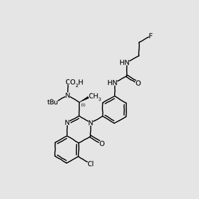 C[C@@H](c1nc2cccc(Cl)c2c(=O)n1-c1cccc(NC(=O)NCCF)c1)N(C(=O)O)C(C)(C)C